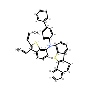 C=Cc1c(/C=C\C)sc2c(N(c3ccc(-c4ccccc4)cc3)c3cccc4c3sc3c5ccccc5ccc43)cccc12